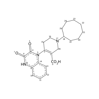 O=C(O)C1=C(n2c(=O)c(=O)[nH]c3ccccc32)CCN(C2CCCCCCC2)C1